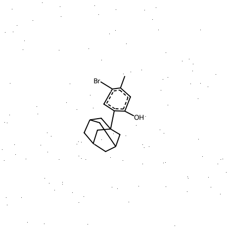 Cc1cc(O)c(C23CC4CC(CC(C4)C2)C3)cc1Br